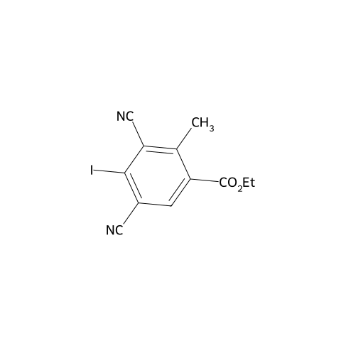 CCOC(=O)c1cc(C#N)c(I)c(C#N)c1C